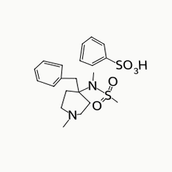 CN1CCC(Cc2ccccc2)(N(C)S(C)(=O)=O)CC1.O=S(=O)(O)c1ccccc1